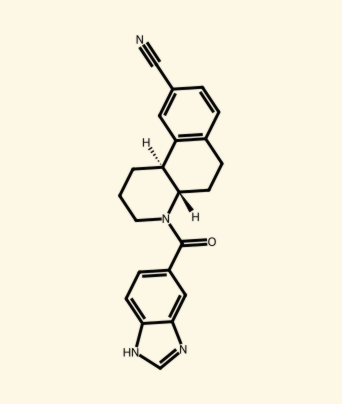 N#Cc1ccc2c(c1)[C@@H]1CCCN(C(=O)c3ccc4[nH]cnc4c3)[C@H]1CC2